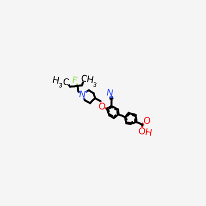 CCC(F)(CC)CN1CCC(COc2ccc(-c3ccc(C(=O)O)cc3)cc2C#N)CC1